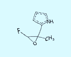 CC1(c2ccc[nH]2)OC1F